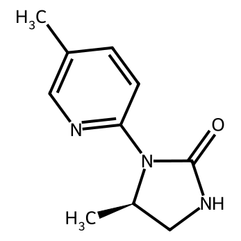 Cc1ccc(N2C(=O)NC[C@H]2C)nc1